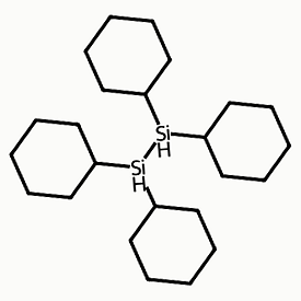 C1CCC([SiH](C2CCCCC2)[SiH](C2CCCCC2)C2CCCCC2)CC1